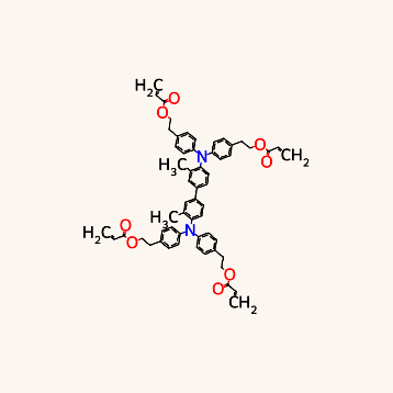 C=CC(=O)OCCc1ccc(N(c2ccc(CCOC(=O)C=C)cc2)c2ccc(-c3ccc(N(c4ccc(CCOC(=O)C=C)cc4)c4ccc(CCOC(=O)C=C)cc4)c(C)c3)cc2C)cc1